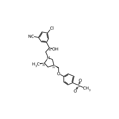 C[C@@H]1C[C@H](COc2ccc(S(C)(=O)=O)cc2)CN1C[C@H](O)c1cc(Cl)cc(C#N)c1